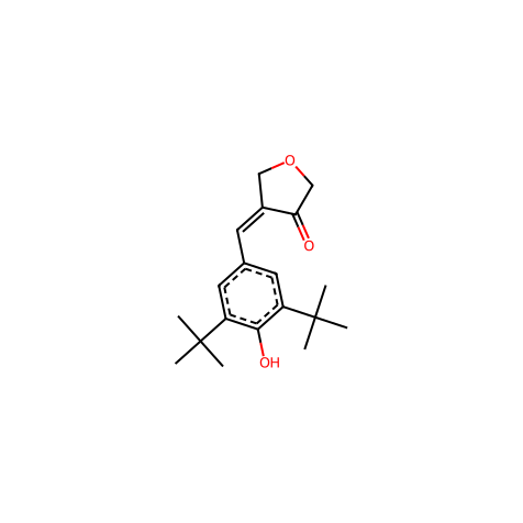 CC(C)(C)c1cc(/C=C2/COCC2=O)cc(C(C)(C)C)c1O